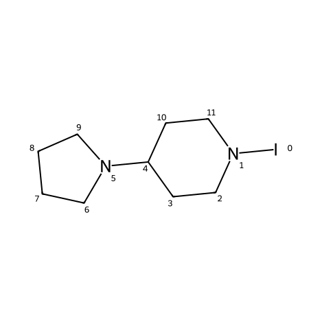 IN1CCC(N2CCCC2)CC1